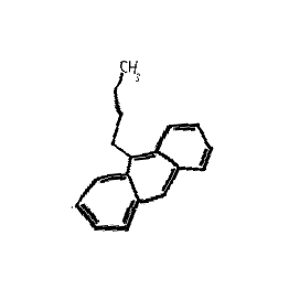 CCCCc1c2c[c]ccc2cc2ccccc12